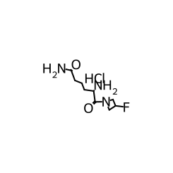 Cl.NC(=O)CCCC(N)C(=O)N1CC(F)C1